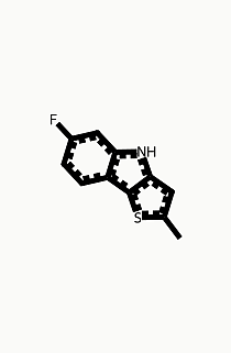 Cc1cc2[nH]c3cc(F)ccc3c2s1